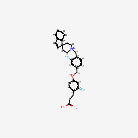 O=C(O)CCc1ccc(OCc2ccc(CN3CCC4(C=Cc5ccccc54)CC3)c(F)c2)cc1F